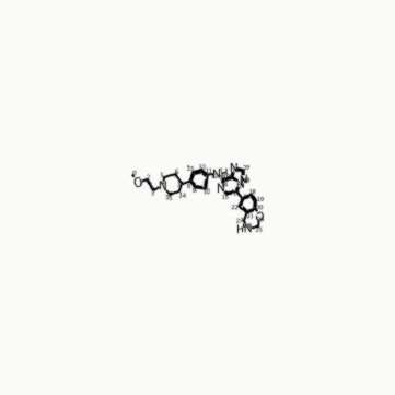 COCCN1CCC(c2ccc(Nc3ncc(-c4ccc5c(c4)CNCO5)n4ncnc34)cc2)CC1